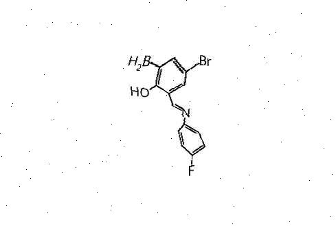 Bc1cc(Br)cc(/C=N/c2ccc(F)cc2)c1O